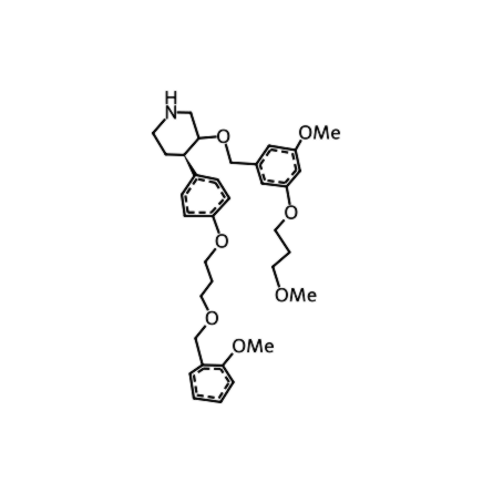 COCCCOc1cc(COC2CNCC[C@@H]2c2ccc(OCCCOCc3ccccc3OC)cc2)cc(OC)c1